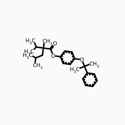 CC(C)CC(C)(C(=O)Oc1ccc(OC(C)(C)c2ccccc2)cc1)C(C)C